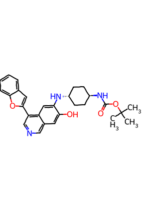 CC(C)(C)OC(=O)N[C@H]1CC[C@H](Nc2cc3c(-c4cc5ccccc5o4)cncc3cc2O)CC1